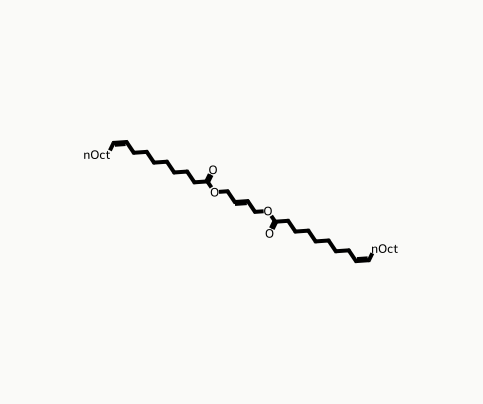 CCCCCCCC/C=C\CCCCCCCC(=O)OCC=CCOC(=O)CCCCCCC/C=C\CCCCCCCC